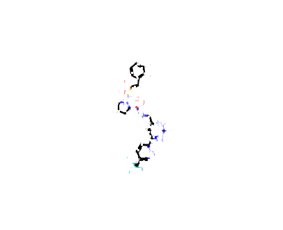 O=C(NCc1cc(-c2ccc(C(F)(F)F)cn2)ncn1)[C@@H]1CCCN1S(=O)(=O)c1cc2ccccc2o1